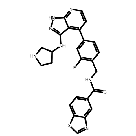 O=C(NCc1ccc(-c2ccnc3[nH]nc(NC4CCNC4)c23)cc1F)c1ccc2scnc2c1